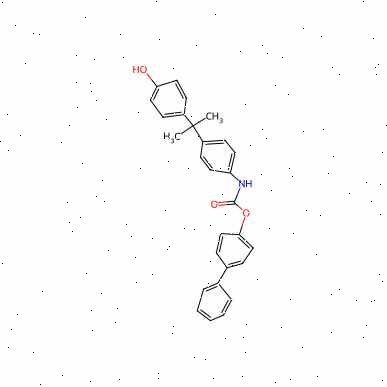 CC(C)(c1ccc(O)cc1)c1ccc(NC(=O)Oc2ccc(-c3ccccc3)cc2)cc1